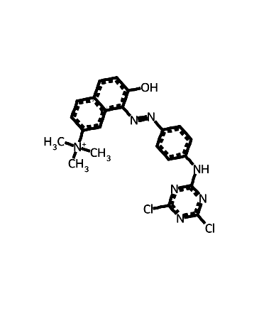 C[N+](C)(C)c1ccc2ccc(O)c(N=Nc3ccc(Nc4nc(Cl)nc(Cl)n4)cc3)c2c1